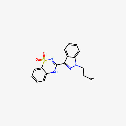 CC(C)CCn1nc(C2=NS(=O)(=O)c3ccccc3N2)c2ccccc21